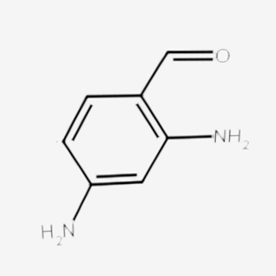 Nc1[c]cc(C=O)c(N)c1